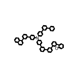 c1ccc(-c2cccc(-c3ccc(N(c4ccc(-c5cccc(-c6cccc(-c7cccc8c7oc7ccccc78)c6)c5)cc4)c4ccc(-c5cccc(-c6cccc7ccccc67)c5)cc4)cc3)c2)cc1